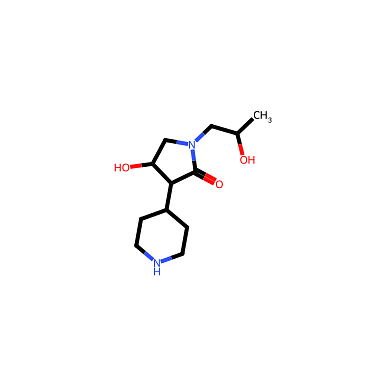 CC(O)CN1CC(O)C(C2CCNCC2)C1=O